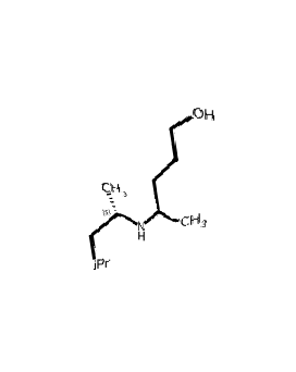 CC(C)C[C@H](C)NC(C)CCCO